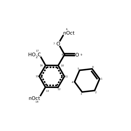 C1=CCCCC1.CCCCCCCCOC(=O)c1ccc(CCCCCCCC)cc1C(=O)O